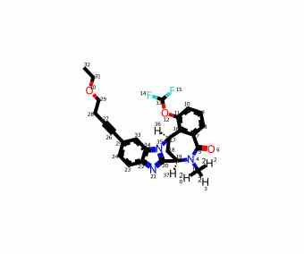 [2H]C([2H])([2H])N1C(=O)c2cccc(OC(F)F)c2[C@H]2C[C@@H]1c1nc3ccc(C#CCCOCC)cc3n12